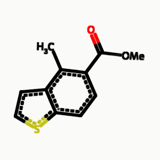 COC(=O)c1ccc2sccc2c1C